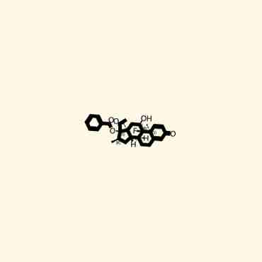 CC(=O)[C@]1(OC(=O)c2ccccc2)[C@H](C)C[C@H]2[C@@H]3CCC4=CC(=O)C=C[C@]4(C)[C@@]3(F)[C@@H](O)C[C@@]21C